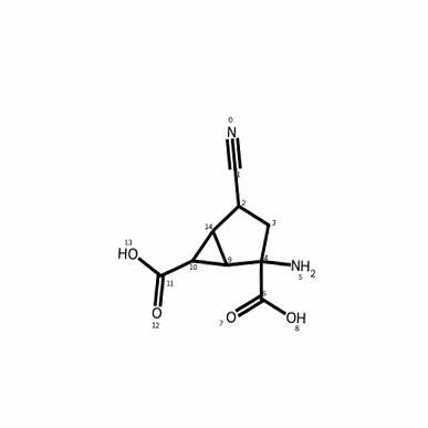 N#CC1CC(N)(C(=O)O)C2C(C(=O)O)C12